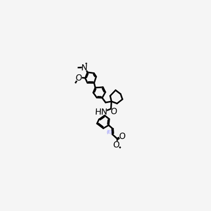 COC(=O)/C=C/c1cccc(NC(=O)C2(Cc3ccc(-c4ccc(N(C)C)c(OC)c4)cc3)CCCCC2)c1